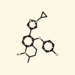 CC(=O)N1c2ccc(-c3cnn(C4CC4)c3)c(Oc3ccc(Cl)cc3)c2CCC1C